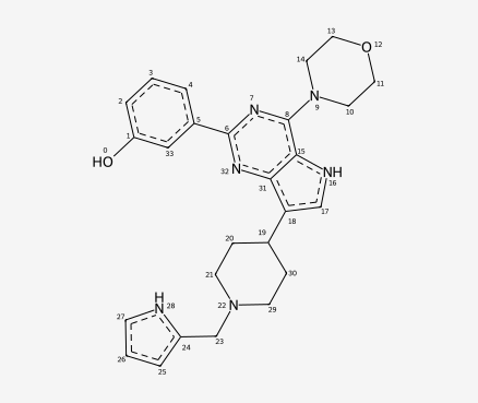 Oc1cccc(-c2nc(N3CCOCC3)c3[nH]cc(C4CCN(Cc5ccc[nH]5)CC4)c3n2)c1